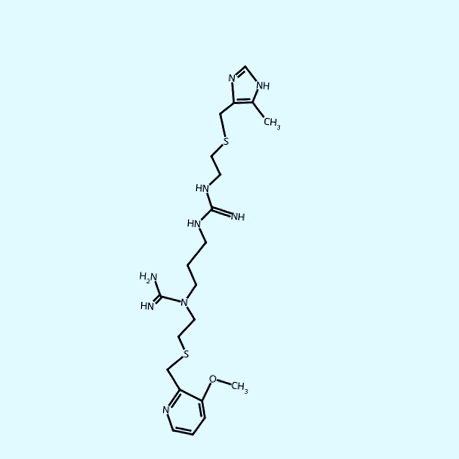 COc1cccnc1CSCCN(CCCNC(=N)NCCSCc1nc[nH]c1C)C(=N)N